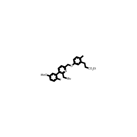 CCOC(=O)CCc1cc(OCc2ccc(-c3cc(OC)ccc3F)c(CC(C)(C)C)n2)ccc1C